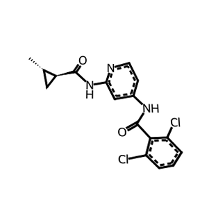 C[C@H]1C[C@@H]1C(=O)Nc1cc(NC(=O)c2c(Cl)cccc2Cl)ccn1